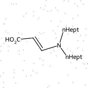 CCCCCCCN(C=CC(=O)O)CCCCCCC